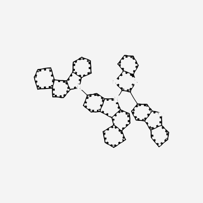 c1ccc2c(c1)ccc1c2c2ccccc2n1-c1ccc2c3c4ccccc4ccc3n(-c3nc4ccccc4nc3-c3ccc4c(c3)oc3ccccc34)c2c1